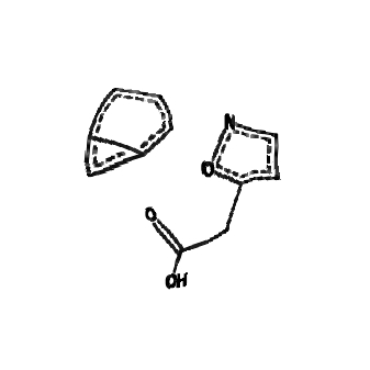 O=C(O)Cc1ccno1.c1cc2cc-2c1